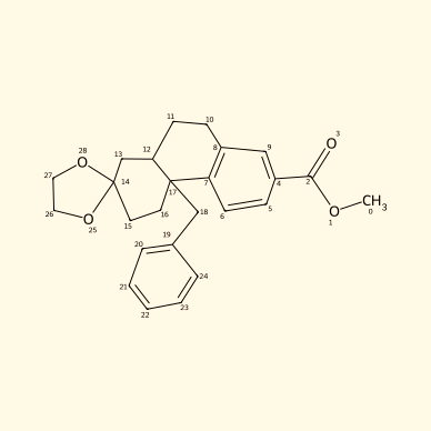 COC(=O)c1ccc2c(c1)CCC1CC3(CCC21Cc1ccccc1)OCCO3